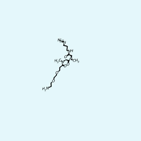 CN(CC(=O)NCCCN=[N+]=[N-])C(=O)CN(C)C(=O)CCOCCOCCN